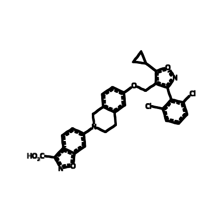 O=C(O)c1noc2cc(N3CCc4cc(OCc5c(-c6c(Cl)cccc6Cl)noc5C5CC5)ccc4C3)ccc12